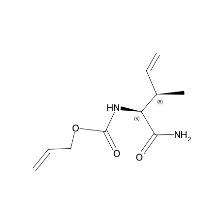 C=CCOC(=O)N[C@H](C(N)=O)[C@H](C)C=C